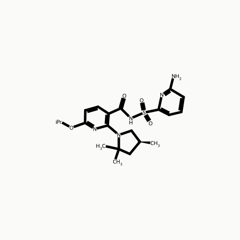 CC(C)Oc1ccc(C(=O)NS(=O)(=O)c2cccc(N)n2)c(N2C[C@@H](C)CC2(C)C)n1